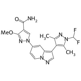 COc1nn(-c2ccn3ncc(-c4c(C)nn(C(F)F)c4C)c3c2)cc1C(N)=O